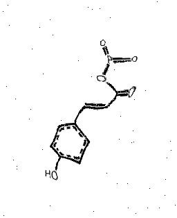 O=C(/C=C/c1ccc(O)cc1)OP(=O)=O